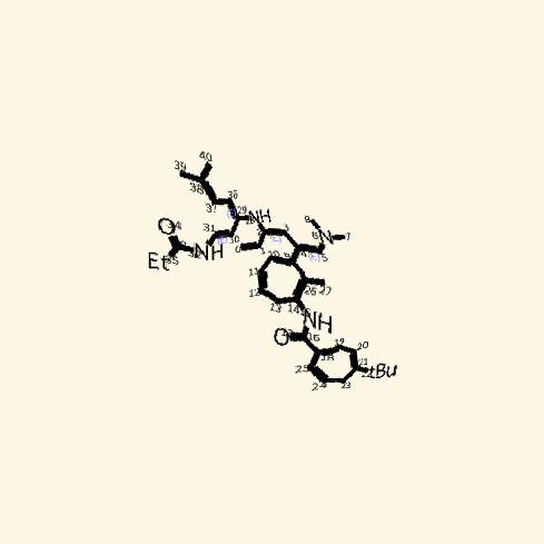 C=C/C(=C\C(=C/N(C)C)C1=CC=CCC(NC(=O)C2=CC=C(C(C)(C)C)CC=C2)=C1C)NC(/C=C/NC(=O)CC)=C/C=C(C)C